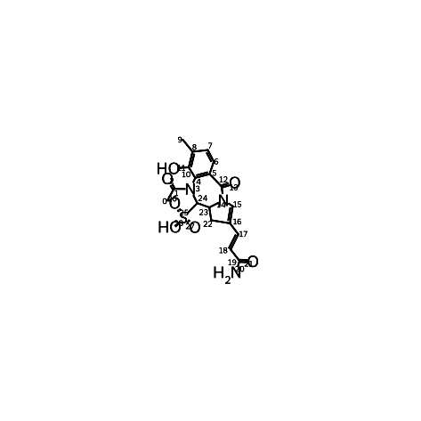 CC(=O)N1c2c(ccc(C)c2O)C(=O)N2C=C(C=CC(N)=O)CC2C1S(=O)(=O)O